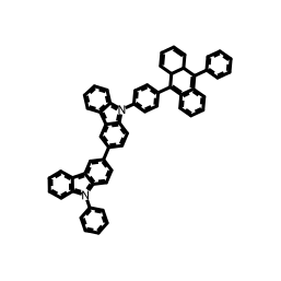 C1=CC2C(c3ccccc3)=c3ccccc3=C(c3ccc(-n4c5ccccc5c5cc(-c6ccc7c(c6)c6ccccc6n7-c6ccccc6)ccc54)cc3)C2C=C1